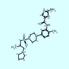 Cc1ccc(N2CCN(S(=O)(=O)CC(C)CN3CCCC3)CC2)cc1NC(=O)c1coc(N)n1